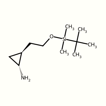 CC(C)(C)[Si](C)(C)OCC[C@@H]1C[C@H]1N